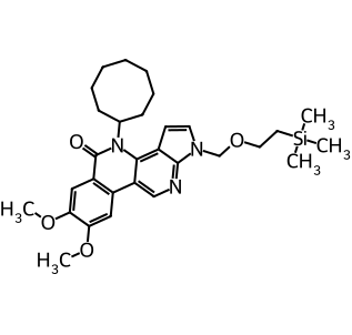 COc1cc2c(=O)n(C3CCCCCCC3)c3c(cnc4c3ccn4COCC[Si](C)(C)C)c2cc1OC